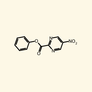 O=C(Oc1ccccc1)c1ncc([N+](=O)[O-])cn1